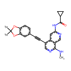 [2H]C1([2H])Oc2ccc(C#Cc3cnc(NC)c4cnc(NC(=O)C5CC5)cc34)cc2O1